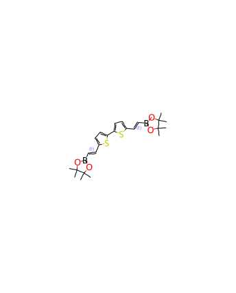 CC1(C)OB(/C=C/c2ccc(-c3ccc(/C=C/B4OC(C)(C)C(C)(C)O4)s3)s2)OC1(C)C